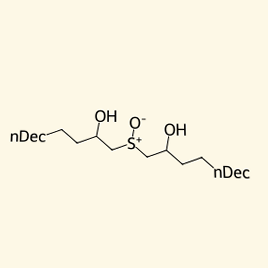 CCCCCCCCCCCCC(O)C[S+]([O-])CC(O)CCCCCCCCCCCC